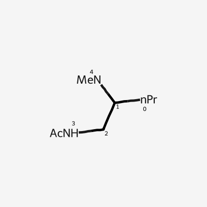 CCCC(CNC(C)=O)NC